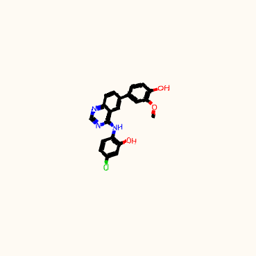 COc1cc(-c2ccc3ncnc(Nc4ccc(Cl)cc4O)c3c2)ccc1O